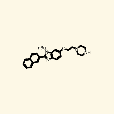 CCCCn1c(-c2ccc3ccccc3c2)nc2ccc(OCCN3CCNCC3)cc21